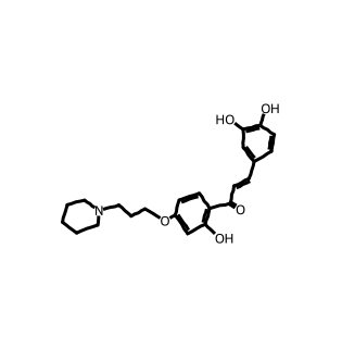 O=C(/C=C/c1ccc(O)c(O)c1)c1ccc(OCCCN2CCCCC2)cc1O